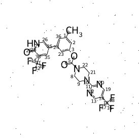 Cc1cc(OC(=O)N2CCN(c3ncc(C(F)(F)F)cn3)CC2)cc(-c2c[nH]c(=O)c(C(F)(F)F)c2)c1